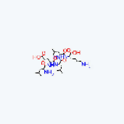 CC(C)C[C@H](NC(=O)[C@H](CC(C)C)NC(=O)[C@H](CCC(=O)O)NC(=O)[C@@H](N)CC(C)C)C(=O)N[C@@H](CCCCN)C(=O)O